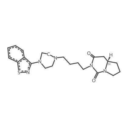 O=C1C[C@@H]2CCCN2C(=O)N1CCCCN1CCN(c2nsc3ccccc23)CC1